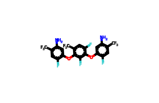 Nc1cc(Oc2c(F)cc(C(F)(F)F)c(Oc3cc(N)c(C(F)(F)F)cc3F)c2F)c(F)cc1C(F)(F)F